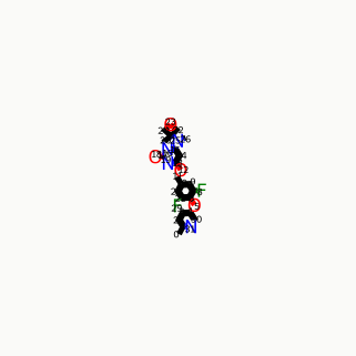 Cc1ccc(Oc2c(F)cc(COc3cc4n(c(=O)n3)CC3(COC3)N4C)cc2F)cn1